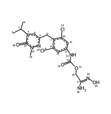 CC(C)c1cc(Cc2c(Cl)cc(NC(=O)OCC(N)=NO)cc2Cl)nn(C)c1=O